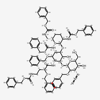 [N-]=[N+]=N[C@@H]1C(OCc2ccccc2)[C@@H](O[C@@H]2C(O)C(O[C@H]3O[C@H](CNC(=O)OCc4ccccc4)CCC3NC(=O)OCc3ccccc3)[C@@H](NC(=O)OCc3ccccc3)C(OCc3ccccc3)[C@H]2NC(=O)[C@H](CCNC(=O)OCc2ccccc2)OCc2ccccc2)OC(CO)[C@H]1O